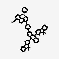 CC1(C)c2ccccc2-c2ccc(-c3c4ccccc4c(-c4ccc5c(c4)C(C)(C)c4ccccc4-5)c4cc(-c5ccc(-c6ccc7c8c6ccc6c(C#N)ccc(c68)n7-c6ccccc6)cc5)ccc34)cc21